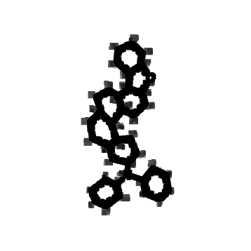 c1ccc(N(c2ccccc2)c2ccc3c(ccc4ccc5c(ccc6oc7ccccc7c65)c43)c2)cc1